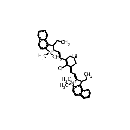 CCC1C(=CC=C2CCCC(C=CC3C(CC)c4c(ccc5ccccc45)[N+]3(C)C)=C2Cl)[N+](C)(C)c2ccc3ccccc3c21.I